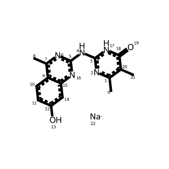 Cc1nc(Nc2nc(C)c3ccc(O)cc3n2)[nH]c(=O)c1C.[Na]